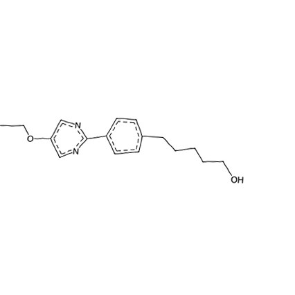 CCOc1cnc(-c2ccc(CCCCCO)cc2)nc1